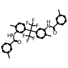 Cc1cccc(C(=O)Nc2cc(C(c3ccc(C)c(NC(=O)c4cccc(C)c4)c3)(C(F)(F)F)C(F)(F)F)ccc2C)c1